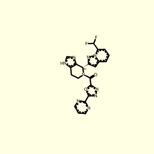 O=C(c1nnc(-c2ncccn2)o1)N1CCc2[nH]cnc2[C@@H]1c1cc2cccc(C(F)F)n2n1